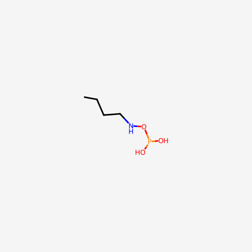 CCCCNOP(O)O